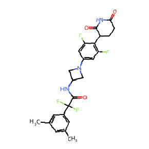 Cc1cc(C)cc(C(F)(F)C(=O)NC2CN(c3cc(F)c(C4CCC(=O)NC4=O)c(F)c3)C2)c1